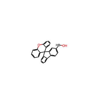 OBc1ccc2c(c1)C1(c3ccccc3Oc3ccccc31)c1ccccc1-2